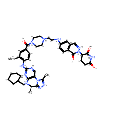 CC[C@@H]1c2nnc(C)n2-c2cnc(Nc3ccc(C(=O)N4CCN(CCNc5ccc6c(=O)n(C7CCC(=O)NC7=O)ncc6c5)CC4)cc3OC)nc2N1CC1CCCCC1